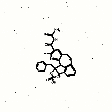 Cc1nc2c(cc1C(=O)NC(=N)N)CCCCC2C(Cc1ccccc1)(Cc1ccccc1)OP(=O)(O)O